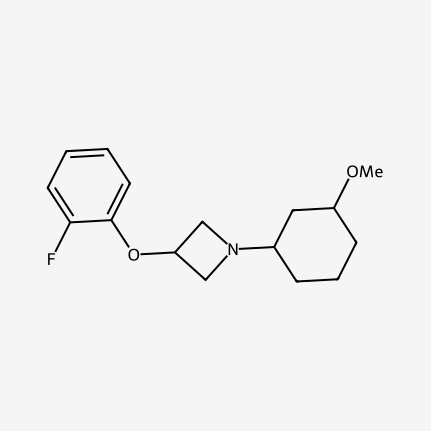 COC1CCCC(N2CC(Oc3ccccc3F)C2)C1